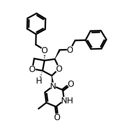 Cc1cn([C@@H]2O[C@H](COCc3ccccc3)[C@]3(OCc4ccccc4)CO[C@H]23)c(=O)[nH]c1=O